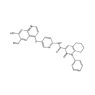 C=C1C(C(=O)Nc2ccc(Oc3ccnc4cc(O)c(OC)cc34)cn2)=CC2=C(CCCC2)N1c1ccccc1